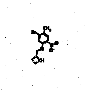 Cc1cc([N+](=O)[O-])c(OCC2CCN2)cc1Br